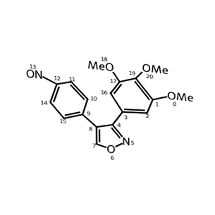 COc1cc(-c2nocc2-c2ccc(N=O)cc2)cc(OC)c1OC